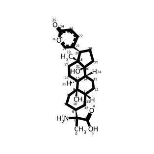 CC(N)(C(=O)O)[C@H]1CC[C@@]2(C)[C@H](CC[C@@H]3[C@@H]2CC[C@]2(C)[C@@H](c4ccc(=O)oc4)CC[C@]32O)C1